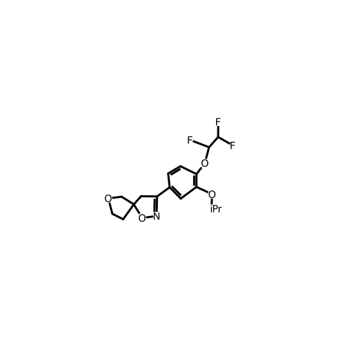 CC(C)Oc1cc(C2=NOC3(CCOC3)C2)ccc1OC(F)C(F)F